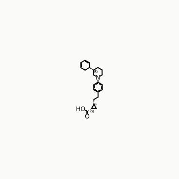 O=C(O)[C@H]1C[C@@H]1CCc1ccc(N2CCC[C@H](C3C=CC=CC3)C2)cc1